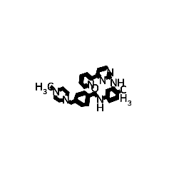 Cc1ccc(NC(=O)c2ccc(CN3CCN(C)CC3)cc2)cc1Nc1nccc(-c2ccccn2)n1